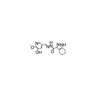 COc1ncc(/C=N/NC(=O)c2n[nH]c3c2CCCC3)cc1O